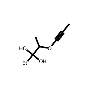 CC#COC(C)C(O)(O)CC